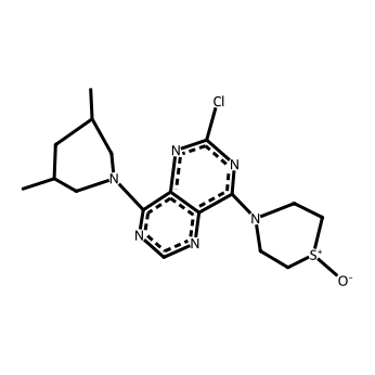 CC1CC(C)CN(c2ncnc3c(N4CC[S+]([O-])CC4)nc(Cl)nc23)C1